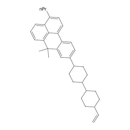 C=CC1CCC(C2CCC(c3ccc4c(c3)C(C)(C)c3cccc5c(CCC)ccc-4c35)CC2)CC1